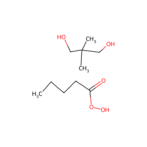 CC(C)(CO)CO.CCCCC(=O)OO